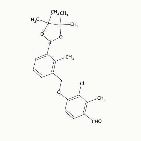 Cc1c(COc2ccc(C=O)c(C)c2Cl)cccc1B1OC(C)(C)C(C)(C)O1